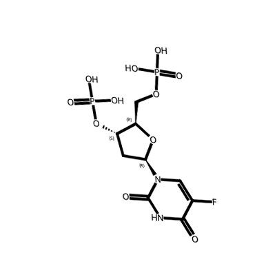 O=c1[nH]c(=O)n([C@H]2C[C@H](OP(=O)(O)O)[C@@H](COP(=O)(O)O)O2)cc1F